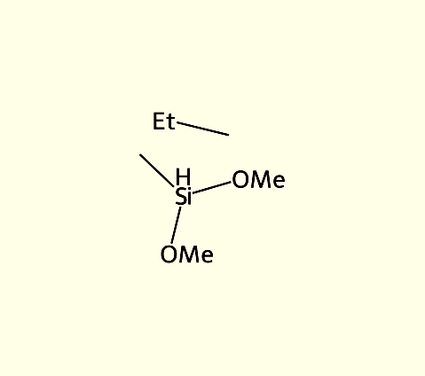 CCC.CO[SiH](C)OC